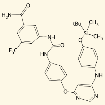 CC(C)(C)[Si](C)(C)Oc1ccc(Nc2cc(Oc3ccc(NC(=O)Nc4cc(C(N)=O)cc(C(F)(F)F)c4)cc3)ncn2)cc1